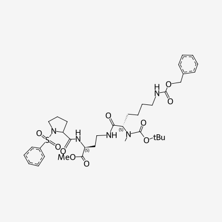 COC(=O)[C@H](CCNC(=O)[C@H](CCCCNC(=O)OCc1ccccc1)N(C)C(=O)OC(C)(C)C)NC(=O)C1CCCN1S(=O)(=O)c1ccccc1